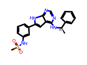 C[C@@H](Nc1ncnc2[nH]c(-c3cccc(NS(C)(=O)=O)c3)cc12)c1ccccc1